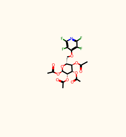 CC(=O)O[C@H]1O[C@H](COc2c(F)c(F)nc(F)c2F)[C@@H](OC(C)=O)[C@H](OC(C)=O)[C@@H]1OC(C)=O